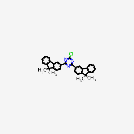 CC1(C)c2ccccc2-c2cc(-c3nc(Cl)nc(-c4ccc5c(c4)-c4ccccc4C5(C)C)n3)ccc21